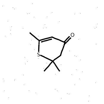 CC1=CC(=O)CC(C)(C)S1